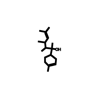 CC(C)=CC(C)C(C)C(C)(O)C1CC=C(C)CC1